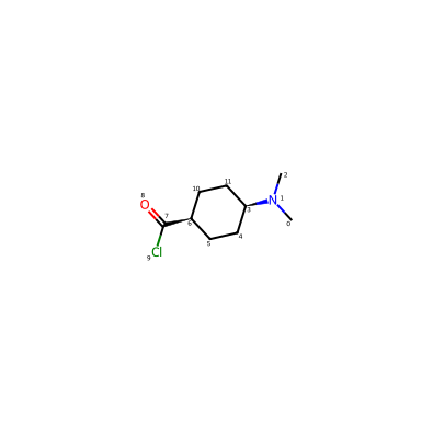 CN(C)[C@H]1CC[C@@H](C(=O)Cl)CC1